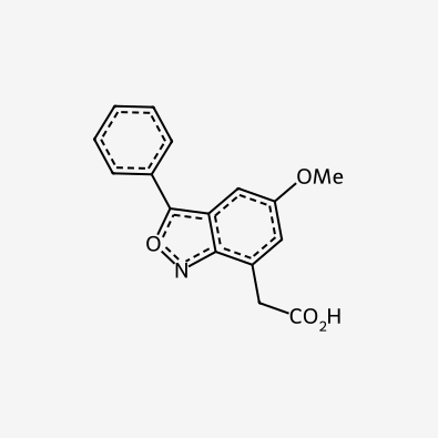 COc1cc(CC(=O)O)c2noc(-c3ccccc3)c2c1